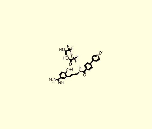 N=C(N)c1ccc(O)c(/C=C/CNC(=O)c2ccc(-c3cc[n+]([O-])cc3)cc2)c1.O=C(O)C(F)(F)F.O=C(O)C(F)(F)F